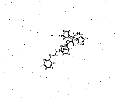 O=C(OC1C[N+]2(CCCc3ccccc3)CCC1CC2)C(O)(c1ccsc1)c1ccsc1